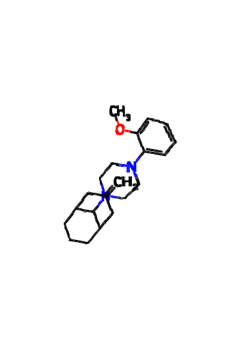 C=C1CC2CCCC(C1)C2N1CCN(c2ccccc2OC)CC1